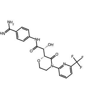 N=C(N)c1ccc(NC(=O)[C@H](O)[C@H]2OCCN(c3cccc(C(F)(F)F)n3)C2=O)cc1